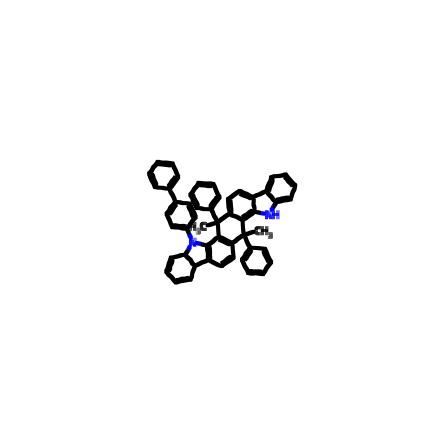 CC1(c2ccccc2)c2ccc3c([nH]c4ccccc43)c2C(C)(c2ccccc2)c2ccc3c(c21)N(c1ccc(-c2ccccc2)cc1)C1C=CC=CC31